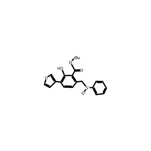 CC(C)(C)OC(=O)c1c(C[S+]([O-])c2ccccc2)ccc(-c2ccoc2)c1O